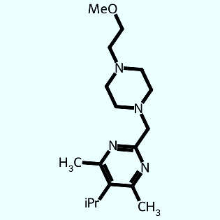 COCCN1CCN(Cc2nc(C)c(C(C)C)c(C)n2)CC1